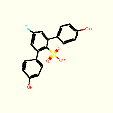 O=S(=O)(O)c1c(-c2ccc(O)cc2)cc(F)cc1-c1ccc(O)cc1